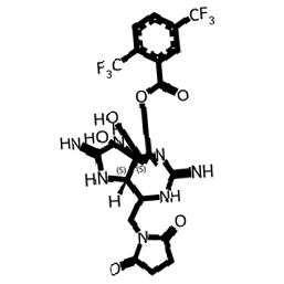 N=C1N[C@H]2C(CN3C(=O)CCC3=O)NC(=N)N3CC(OC(=O)c4cc(C(F)(F)F)ccc4C(F)(F)F)C(O)(O)[C@]23N1